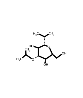 CC(C)O[C@@H]1C(O)[C@H](C(C)C)OC(CO)[C@H]1O